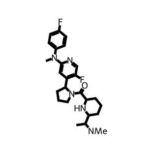 CNC(C)C1CCCC(C(=O)N2CCCC2c2cc(N(C)c3ccc(F)cc3)ncc2F)N1